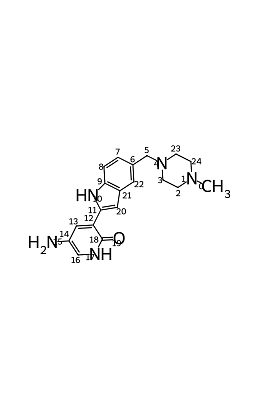 CN1CCN(Cc2ccc3[nH]c(-c4cc(N)c[nH]c4=O)cc3c2)CC1